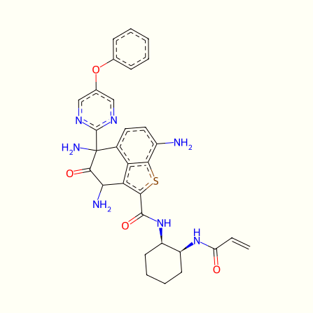 C=CC(=O)N[C@H]1CCCC[C@H]1NC(=O)c1sc2c(N)ccc3c2c1C(N)C(=O)C3(N)c1ncc(Oc2ccccc2)cn1